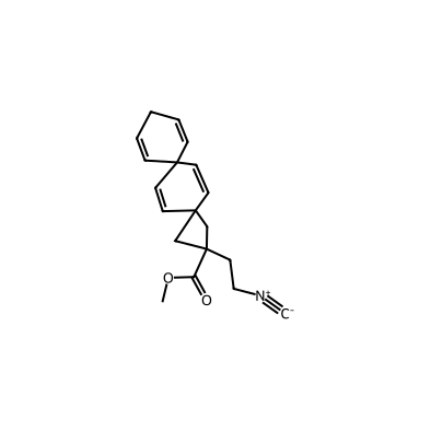 [C-]#[N+]CCC1(C(=O)OC)CC2(C=CC3(C=CCC=C3)C=C2)C1